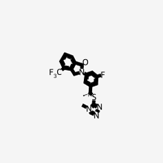 C[C@@H](Sc1nncn1C)c1cc(F)cc(N2Cc3c(cccc3C(F)(F)F)C2=O)c1